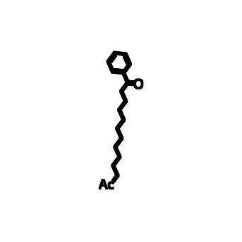 CC(=O)CCCCCCCCCCC(=O)c1ccccc1